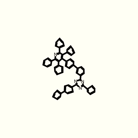 c1ccc(-c2ccc(-c3nc(-c4ccccc4)nc(-c4cccc(-c5ccc(-c6c(-c7ccccc7)c(-c7ccccc7)nc(-c7ccccc7)c6-c6ccccc6)cc5)c4)n3)cc2)cc1